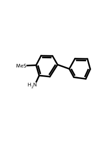 CSc1ccc(-c2ccccc2)cc1N